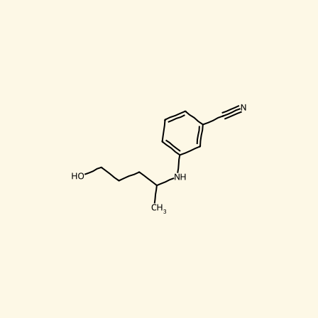 CC(CCCO)Nc1cccc(C#N)c1